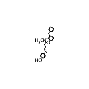 CN(Cc1ccccc1Cc1ccccc1)C(=O)CCCSc1ccc(O)cc1